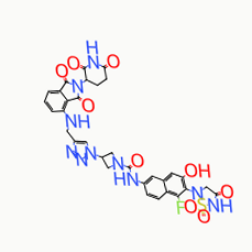 O=C1CCC(N2C(=O)c3cccc(NCc4cn(C5CN(C(=O)Nc6ccc7c(F)c(N8CC(=O)NS8(=O)=O)c(O)cc7c6)C5)nn4)c3C2=O)C(=O)N1